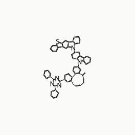 C=C1/C=C\C=C/Cc2cc(-c3nc(-c4ccccc4)nc(-c4ccccc4)n3)ccc2-c2ccc(-n3c4ccccc4c4cc(-n5c6ccccc6c6cc7sc8ccccc8c7cc65)ccc43)cc21